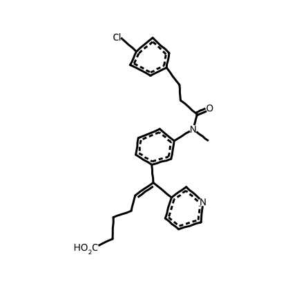 CN(C(=O)CCc1ccc(Cl)cc1)c1cccc(C(=CCCCC(=O)O)c2cccnc2)c1